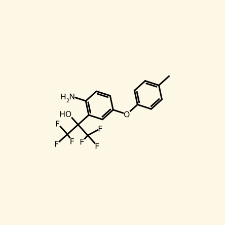 Cc1ccc(Oc2ccc(N)c(C(O)(C(F)(F)F)C(F)(F)F)c2)cc1